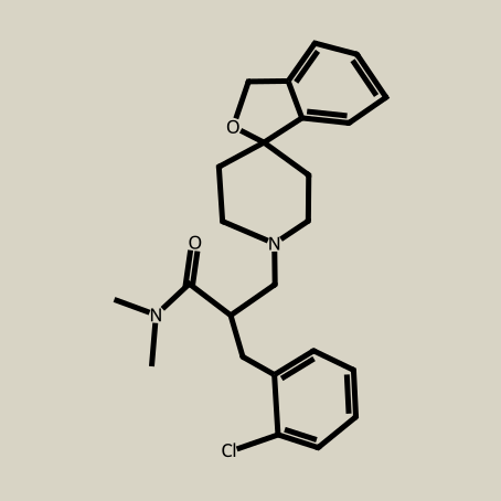 CN(C)C(=O)C(Cc1ccccc1Cl)CN1CCC2(CC1)OCc1ccccc12